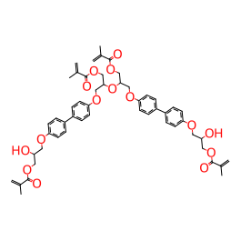 C=C(C)C(=O)OCC(O)COc1ccc(-c2ccc(OCC(COC(=O)C(=C)C)OC(COC(=O)C(=C)C)COc3ccc(-c4ccc(OCC(O)COC(=O)C(=C)C)cc4)cc3)cc2)cc1